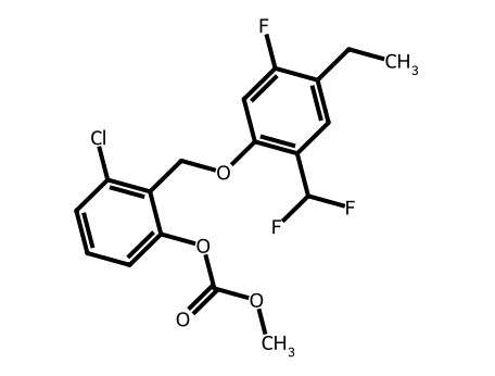 CCc1cc(C(F)F)c(OCc2c(Cl)cccc2OC(=O)OC)cc1F